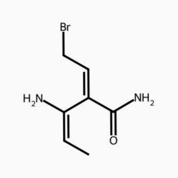 C/C=C(N)\C(=C/CBr)C(N)=O